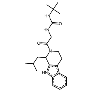 CC(C)CC1c2[nH]c3ccccc3c2CCN1C(=O)CNC(=O)NC(C)(C)C